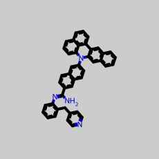 N/C(=N\c1ccccc1Cc1ccncc1)c1ccc2cc(N3c4cc5ccccc5cc4-c4cccc5cccc3c45)ccc2c1